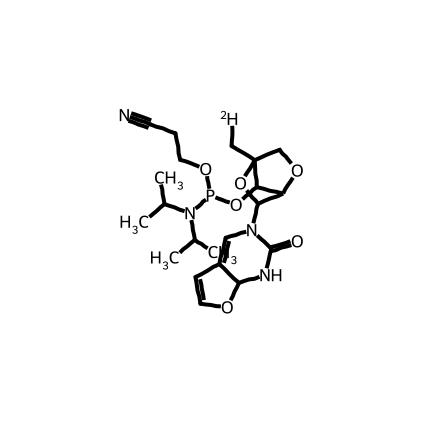 [2H]CC12COC(C(N3C=C4C=COC4NC3=O)O1)C2OP(OCCC#N)N(C(C)C)C(C)C